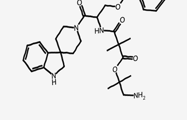 CC(C)(CN)OC(=O)C(C)(C)C(=O)NC(COCc1ccccc1)C(=O)N1CCC2(CC1)CNc1ccccc12